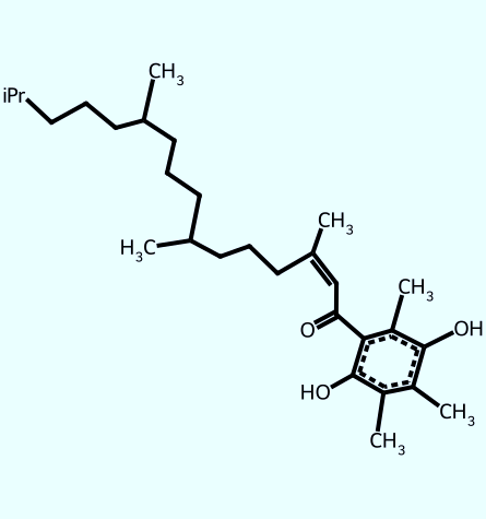 CC(=CC(=O)c1c(C)c(O)c(C)c(C)c1O)CCCC(C)CCCC(C)CCCC(C)C